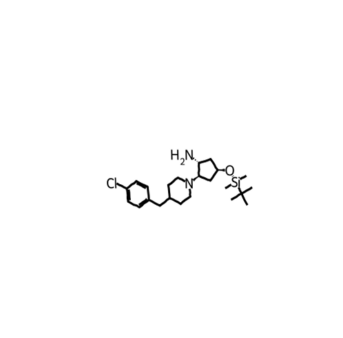 CC(C)(C)[Si](C)(C)O[C@@H]1C[C@@H](N)[C@H](N2CCC(Cc3ccc(Cl)cc3)CC2)C1